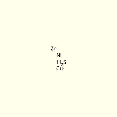 S.[Cu].[Ni].[Zn]